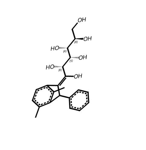 Cc1ccc2c(C)c1C(c1ccccc1)C2=C(O)[C@H](O)[C@@H](O)[C@H](O)[C@H](O)CO